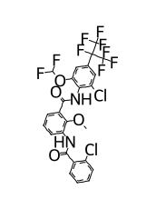 COc1c(NC(=O)c2ccccc2Cl)cccc1C(=O)Nc1c(Cl)cc(C(F)(C(F)(F)F)C(F)(F)F)cc1OC(F)F